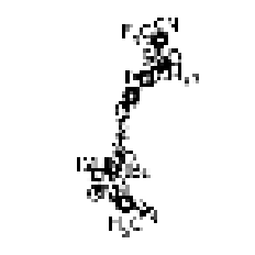 Cc1ncsc1-c1ccc(CNC(=O)[C@@H]2C[C@@H](O)CN2C(=O)[C@@H](NC(=O)OCCOCCOc2ccc(-c3ccc(N4C(=S)N(c5ccc(C#N)c(C(F)(F)F)c5)C(=O)C4(C)C)cc3F)cc2)C(C)(C)C)cc1